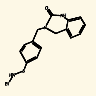 CCNSc1ccc(CN2Cc3ccccc3NC2=O)cc1